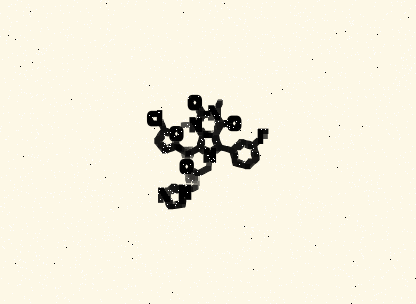 Cn1c(=O)c2c(-c3cccc(F)c3)n3c(c2n(C)c1=O)[C@H](c1ccc(Cl)o1)O[C@@H](Cn1ccnc1)C3